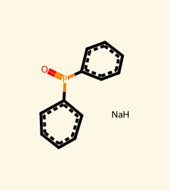 O=[P](c1ccccc1)c1ccccc1.[NaH]